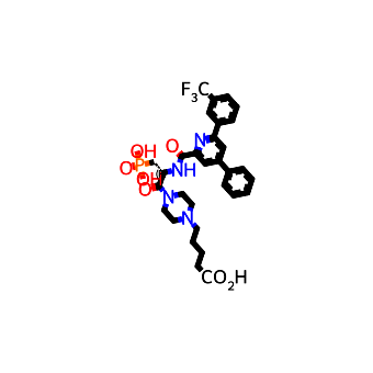 O=C(O)CCCCN1CCN(C(=O)[C@H](CP(=O)(O)O)NC(=O)c2cc(-c3ccccc3)cc(-c3cccc(C(F)(F)F)c3)n2)CC1